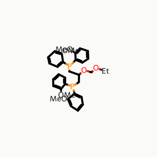 CCOCOC(CP(c1ccccc1OC)c1ccccc1OC)CP(c1ccccc1OC)c1ccccc1OC